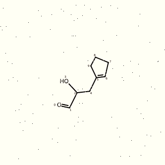 O=CC(O)CC1=CCCC1